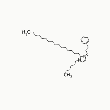 CCCCCCCCCCCCCCCCc1n(CCCCCC)cc[n+]1CCCc1ccccc1